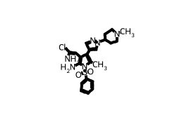 Cc1c(-c2cnn(C3CCN(C)CC3)c2)c(/C=C(\N)Cl)c(N)n1S(=O)(=O)c1ccccc1